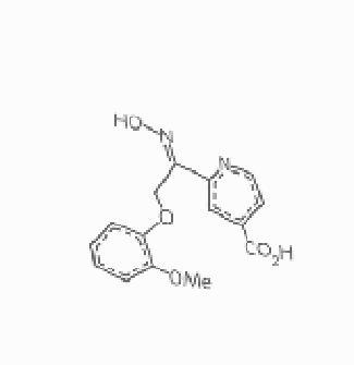 COc1ccccc1OC/C(=N\O)c1cc(C(=O)O)ccn1